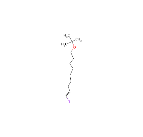 CC(C)(C)OCCCCCCCC=CI